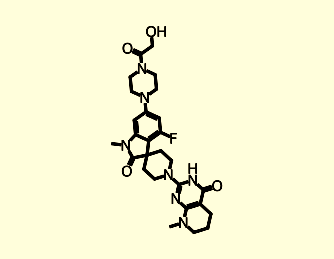 CN1CCCc2c1nc(N1CCC3(CC1)C(=O)N(C)c1cc(N4CCN(C(=O)CO)CC4)cc(F)c13)[nH]c2=O